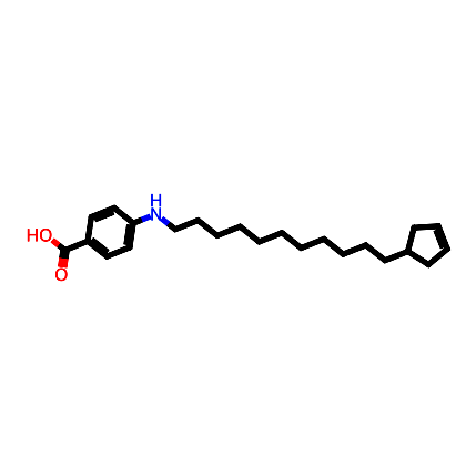 O=C(O)c1ccc(NCCCCCCCCCCCC2CC=CC2)cc1